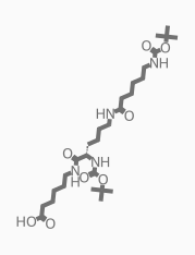 CC(C)(C)OC(=O)NCCCCCC(=O)NCCCC[C@H](NC(=O)OC(C)(C)C)C(=O)NCCCCCC(=O)O